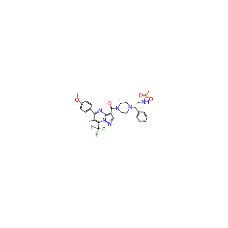 COc1ccc(-c2nc3c(C(=O)N4CCN([C@H](CNS(C)(=O)=O)c5ccccc5)C[C@H]4C)cnn3c(C(F)(F)F)c2C)cc1